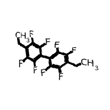 CCc1c(F)c(F)c(-c2c(F)c(F)c(CC)c(F)c2F)c(F)c1F